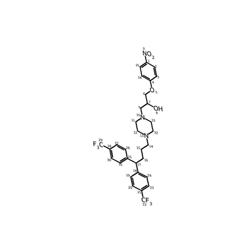 O=[N+]([O-])c1ccc(OCC(O)CN2CCN(CCCC(c3ccc(C(F)(F)F)cc3)c3ccc(C(F)(F)F)cc3)CC2)cc1